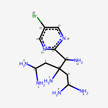 NC(N)CC(N)(CC(N)N)C(N)c1ncc(Br)cn1